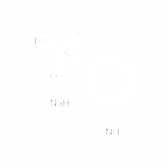 Cc1ccc(N)cc1S(=O)(=O)O.[NaH]